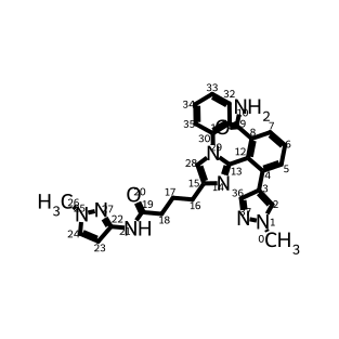 Cn1cc(-c2cccc(C(N)=O)c2-c2nc(CCCC(=O)Nc3ccn(C)n3)cn2-c2ccccc2)cn1